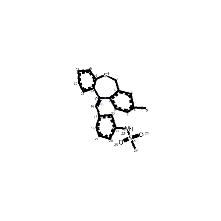 Cc1ccc2c(c1)CSc1ccccc1/C2=C/c1cccc(NS(C)(=O)=O)c1